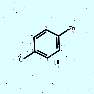 Clc1cc[c]([Zn])cc1.I